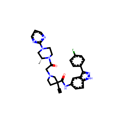 C#CC1(C(=O)Nc2ccc3[nH]nc(-c4ccc(F)cc4)c3c2)CCN(CC(=O)N2CCN(c3ncccn3)C[C@H]2C)C1